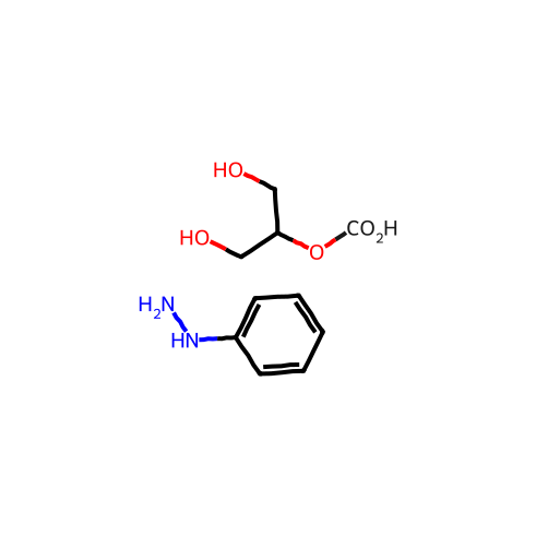 NNc1ccccc1.O=C(O)OC(CO)CO